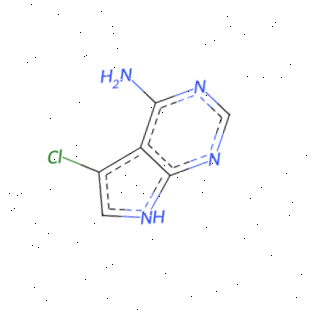 Nc1ncnc2[nH]cc(Cl)c12